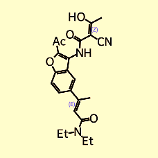 CCN(CC)C(=O)/C=C(\C)c1ccc2oc(C(C)=O)c(NC(=O)/C(C#N)=C(/C)O)c2c1